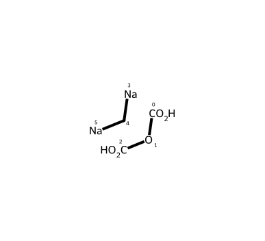 O=C(O)OC(=O)O.[Na][CH2][Na]